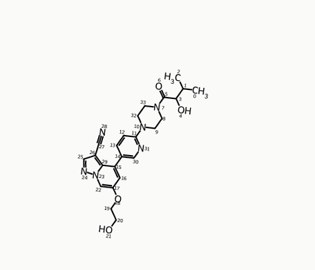 CC(C)C(O)C(=O)N1CCN(c2ccc(-c3cc(OCCO)cn4ncc(C#N)c34)cn2)CC1